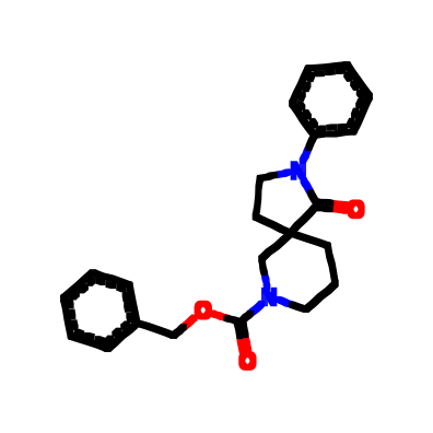 O=C(OCc1ccccc1)N1CCCC2(CCN(c3ccccc3)C2=O)C1